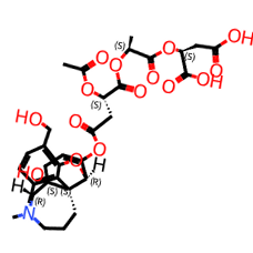 CC(=O)O[C@@H](CC(=O)OC1=CC[C@@]2(O)[C@H]3Cc4ccc(CO)c5c4[C@@]2(CCCN3C)[C@H]1O5)C(=O)O[C@@H](C)C(=O)O[C@@H](CC(=O)O)C(=O)O